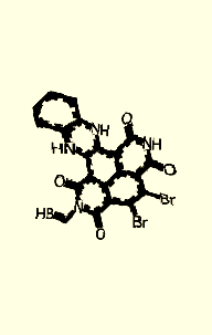 B=Cn1c(=O)c2c(Br)c(Br)c3c(=O)[nH]c(=O)c4c5[nH]c6ccccc6[nH]c5c(c1=O)c2c34